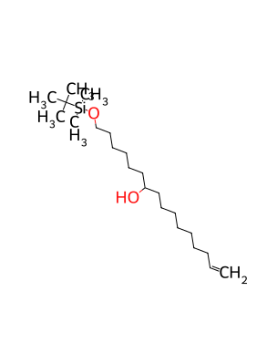 C=CCCCCCCCC(O)CCCCCCO[Si](C)(C)C(C)(C)C